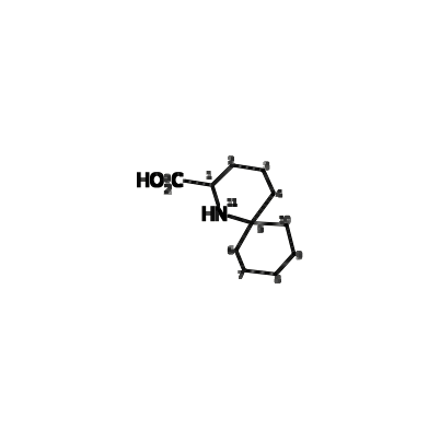 O=C(O)C1CCCC2(CCCCC2)N1